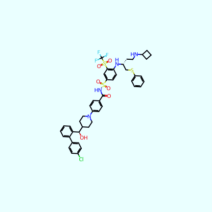 O=C(NS(=O)(=O)c1ccc(N[C@H](CCNC2CCC2)CSc2ccccc2)c(S(=O)(=O)C(F)(F)F)c1)c1ccc(N2CCC([C@@H](O)c3ccccc3-c3ccc(Cl)cc3)CC2)cc1